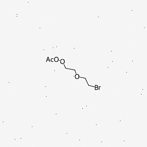 CC(=O)OOCCOCCBr